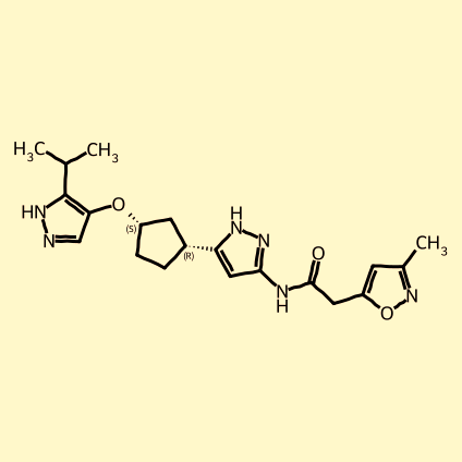 Cc1cc(CC(=O)Nc2cc([C@@H]3CC[C@H](Oc4cn[nH]c4C(C)C)C3)[nH]n2)on1